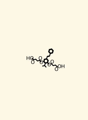 CC(C)c1c(OC(=O)CCC(=O)O)cc(/C=C/c2ccccc2)cc1OC(=O)CCC(=O)O